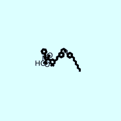 CCCCCCCCc1ccc(N2CCCc3cc(/C=C/C4=CC(=C5\C(=O)N(c6ccccc6)N=C5C(=O)O)/CC(C)(C)C4)ccc32)cc1